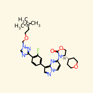 C[Si](C)(C)CCOCn1cnc(-c2ccc(-c3cnn4ccc(N5C(=O)OC[C@@H]5C5CCOCC5)nc34)cc2F)n1